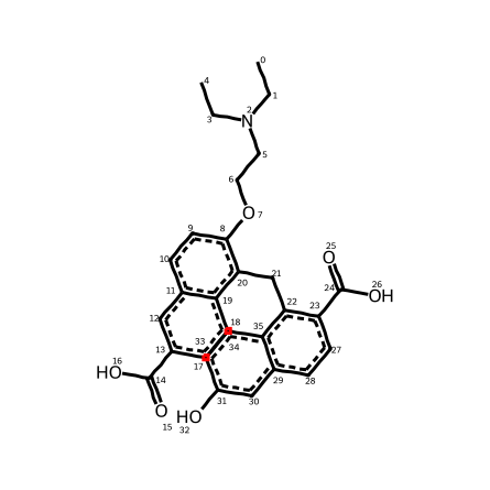 CCN(CC)CCOc1ccc2cc(C(=O)O)ccc2c1Cc1c(C(=O)O)ccc2cc(O)ccc12